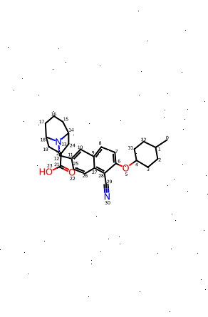 CC1CCC(Oc2ccc3cc(CN4C5CCCC4CC(C(=O)O)C5)ccc3c2C#N)CC1